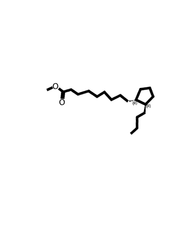 CCCC[C@@H]1CCC[C@H]1CCCCCCCCC(=O)OC